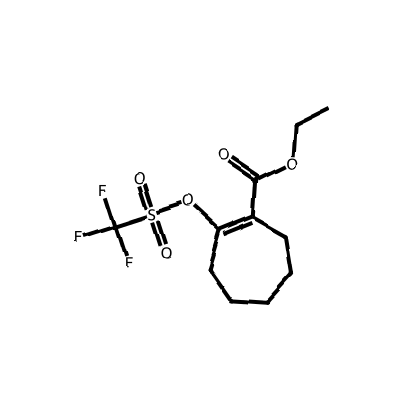 CCOC(=O)C1=C(OS(=O)(=O)C(F)(F)F)CCCCC1